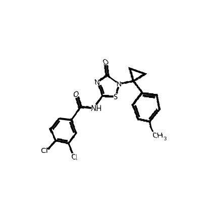 Cc1ccc(C2(n3sc(NC(=O)c4ccc(Cl)c(Cl)c4)nc3=O)CC2)cc1